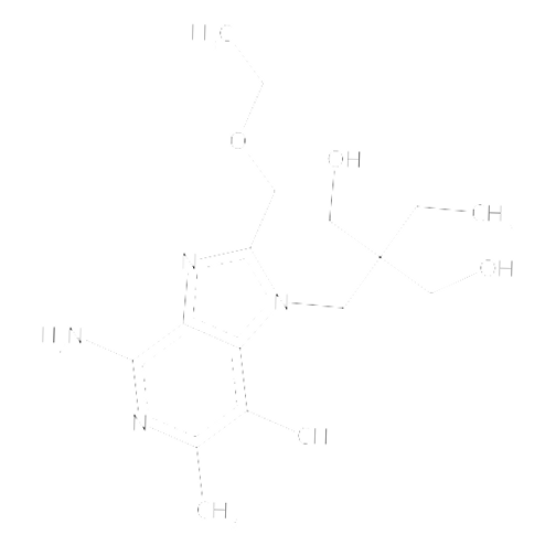 CCOCc1nc2c(N)nc(C)c(C)c2n1CC(CC)(CO)CO